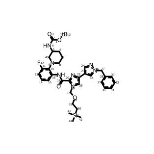 CC(C)(C)OC(=O)NC1CCCN(c2c(F)cccc2NC(=O)c2nc(-c3cnn(Cc4ccccc4)c3)cn2COCC[Si](C)(C)C)C1